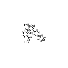 Cl.O=C(N[C@@H](Cc1cccc(C(=O)O)c1O)B(O)O)c1ccc(N2CCNCC2)nc1